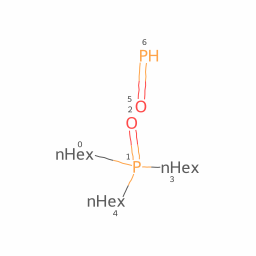 CCCCCCP(=O)(CCCCCC)CCCCCC.O=P